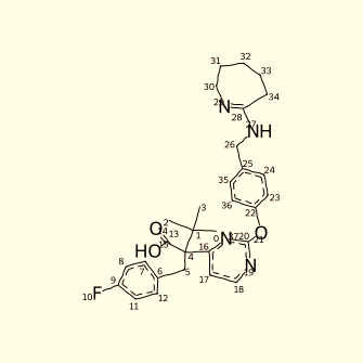 CC(C)(C)C(Cc1ccc(F)cc1)(C(=O)O)c1ccnc(Oc2ccc(CNC3=NCCCCC3)cc2)n1